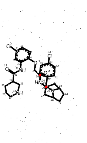 O=C(COc1ccc(Cl)cc1NC(=O)C1CCCNC1)NC1CC2CCC(C1)N2Cc1ccc(Cl)cc1